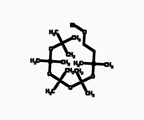 [CH2]COCC[Si](C)(C)O[Si](C)(C)O[Si](C)(C)O[Si](C)(C)O[Si](C)(C)C